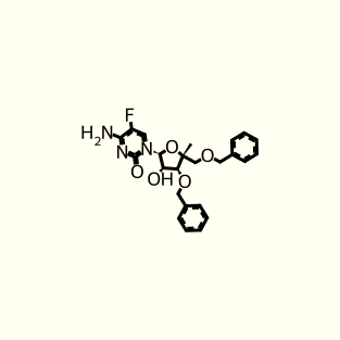 C[C@]1(COCc2ccccc2)O[C@@H](n2cc(F)c(N)nc2=O)[C@H](O)[C@@H]1OCc1ccccc1